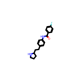 O=C(Nc1ccc(CCC2CCCN2)cc1)c1ccc(F)cc1